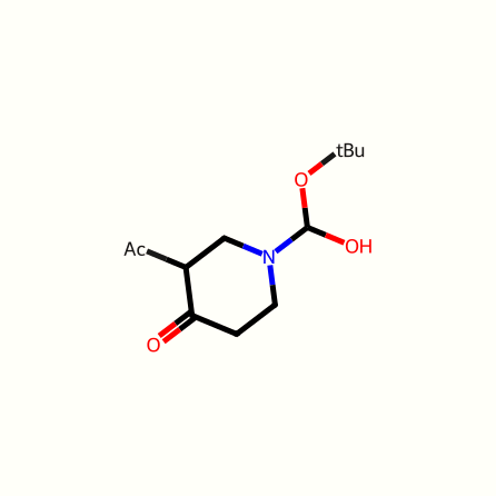 CC(=O)C1CN(C(O)OC(C)(C)C)CCC1=O